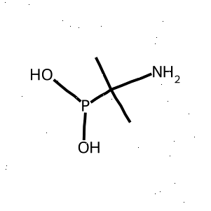 CC(C)(N)P(O)O